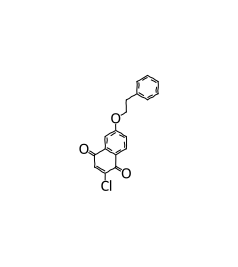 O=C1C=C(Cl)C(=O)c2ccc(OCCc3ccccc3)cc21